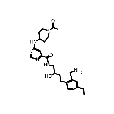 CCc1ccc(CCC(O)CNC(=O)c2cc(NC3CCN(C(C)=O)CC3)ncn2)c(CN)c1